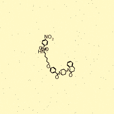 O=C(c1ccc(OCCCCCNS(=O)(=O)c2ccc([N+](=O)[O-])cc2)cc1)N1CCC(N2C(=O)CCc3ccccc32)CC1